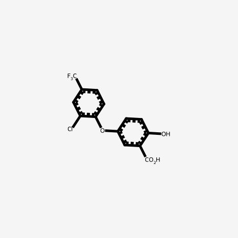 O=C(O)c1cc(Oc2ccc(C(F)(F)F)cc2Cl)ccc1O